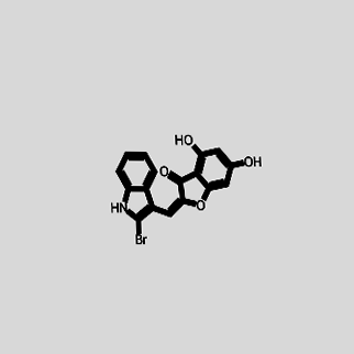 O=C1/C(=C\c2c(Br)[nH]c3ccccc23)Oc2cc(O)cc(O)c21